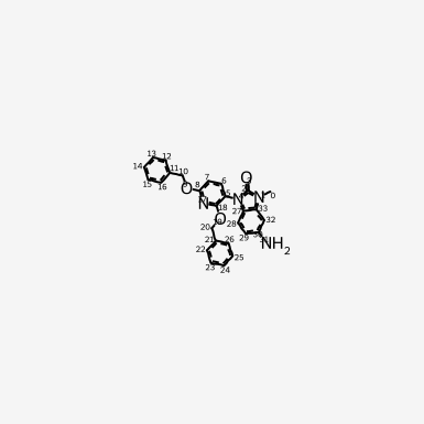 Cn1c(=O)n(-c2ccc(OCc3ccccc3)nc2OCc2ccccc2)c2ccc(N)cc21